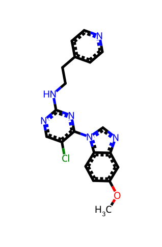 COc1ccc2c(c1)ncn2-c1nc(NCCc2ccncc2)ncc1Cl